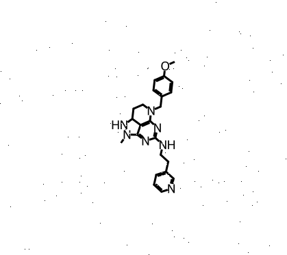 COc1ccc(CN2CCC3NN(C)c4nc(NCCc5cccnc5)nc2c43)cc1